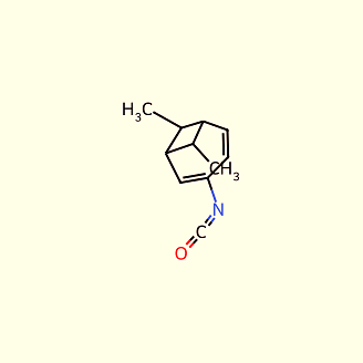 CC1C2C=CC(N=C=O)=CC1C2C